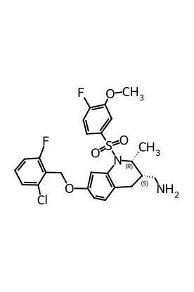 COc1cc(S(=O)(=O)N2c3cc(OCc4c(F)cccc4Cl)ccc3C[C@@H](CN)[C@H]2C)ccc1F